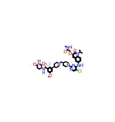 CNC(=O)COc1cc2cc(Nc3nc(N4CCC(CN5CCC(c6cc(OC)cc(C(=O)NC7CCC(=O)NC7=O)c6F)CC5)CC4)ncc3Cl)ccc2n(C(C)C)c1=O